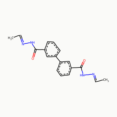 C/C=N/NC(=O)c1cccc(-c2cccc(C(=O)N/N=C/C)c2)c1